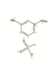 CCCCCC[n+]1cccc(CCCC)c1.CS(=O)(=O)[O-]